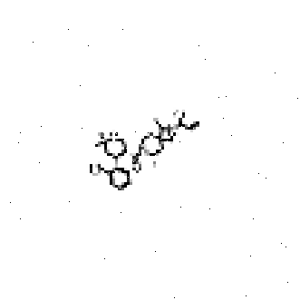 C=CC(=O)N1CC2(CCN(C(=O)[C@H]3COC(C)(C)C[C@@H]3c3ccccc3Cl)[C@@H](C)C2)C1C